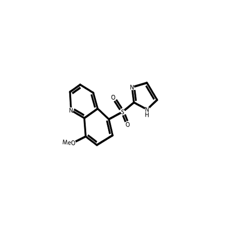 COc1ccc(S(=O)(=O)c2ncc[nH]2)c2cccnc12